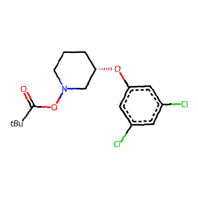 CC(C)(C)C(=O)ON1CCC[C@H](Oc2cc(Cl)cc(Cl)c2)C1